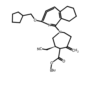 C=C1CCN(C2=NC(OCC3CCCC3)=C=CC3=C2CCCC3)C[C@H](CC#N)C1C(=O)OC(C)(C)C